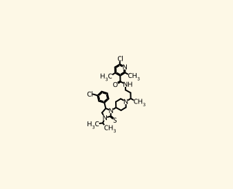 Cc1cc(Cl)nc(C)c1C(=O)NCCC(C)N1CCC(N2C(=S)N(C(C)C)CC2c2cccc(Cl)c2)CC1